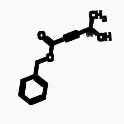 C[C@@H](O)C#CC(=O)OCc1ccccc1